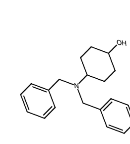 OC1CCC(N(Cc2ccccc2)Cc2ccccc2)CC1